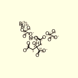 O=C([O-])CC(O)(CC(=O)[O-])C(=O)[O-].O=S(=O)([O-])[O-].O=S(=O)([O-])[O-].[Al+3].[Bi+3].[NH4+]